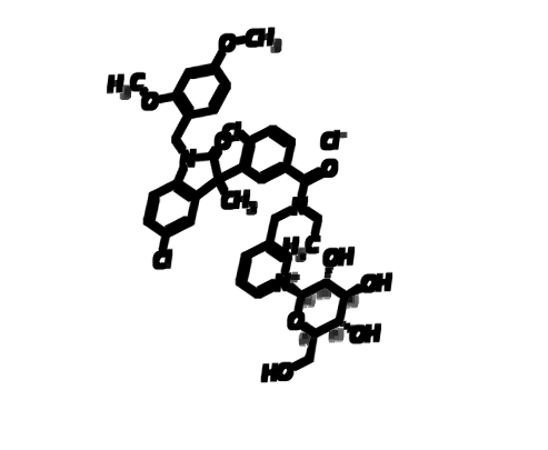 CCN(Cc1ccc[n+]([C@@H]2O[C@H](CO)[C@@H](O)[C@H](O)[C@H]2O)c1)C(=O)c1ccc(Cl)c(C2(C)C(=O)N(Cc3ccc(OC)cc3OC)c3ccc(Cl)cc32)c1.[Cl-]